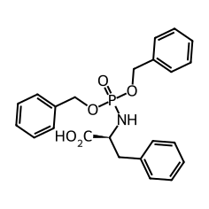 O=C(O)[C@H](Cc1ccccc1)NP(=O)(OCc1ccccc1)OCc1ccccc1